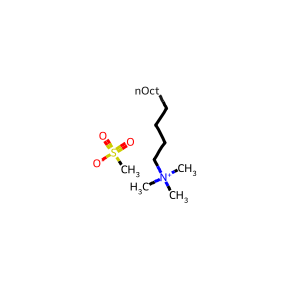 CCCCCCCCCCCC[N+](C)(C)C.CS(=O)(=O)[O-]